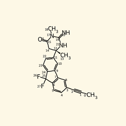 CC#Cc1ccc2c(c1)-c1cc([C@]3(C)CC(=O)N(C)C(=N)N3)ccc1C2(F)F